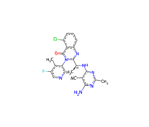 Cc1nc(N)c(C#N)c(N[C@@H](C)c2nc3cccc(Cl)c3c(=O)n2-c2cncc(F)c2C)n1